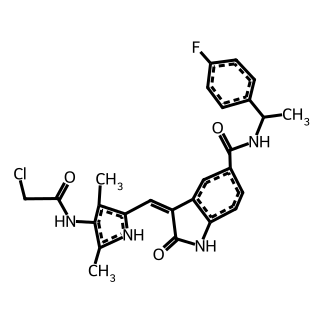 Cc1[nH]c(C=C2C(=O)Nc3ccc(C(=O)NC(C)c4ccc(F)cc4)cc32)c(C)c1NC(=O)CCl